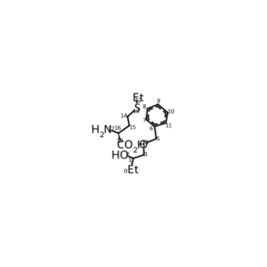 CCC(O)COCc1ccccc1.CCSCC[C@H](N)C(=O)O